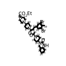 CCOC(=O)CN1CCN(C2CCN(C(=O)[C@@H](CC(=O)N3CCC(N4Cc5ccccc5NC4=O)CC3)Cc3cc(Br)c(C)c(Br)c3)CC2)CC1